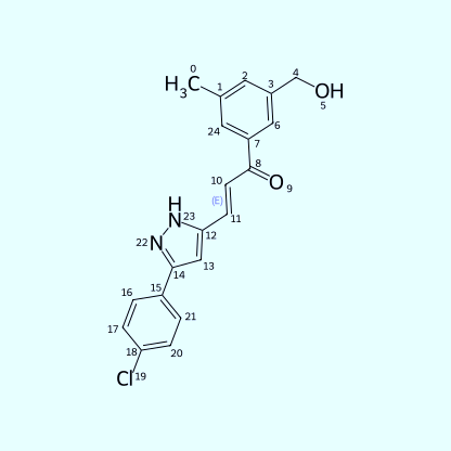 Cc1cc(CO)cc(C(=O)/C=C/c2cc(-c3ccc(Cl)cc3)n[nH]2)c1